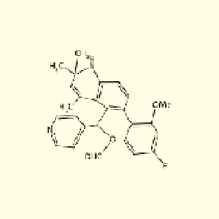 COc1cc(F)ccc1-c1ccc2c(c1C(OC=O)c1ccncc1)C(C)=CC(C)(C)N2